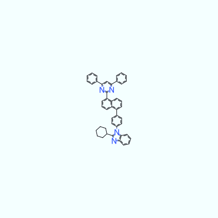 c1ccc(-c2cc(-c3ccccc3)nc(-c3cccc4c(-c5ccc(-n6c(C7CCCCC7)nc7ccccc76)cc5)cccc34)n2)cc1